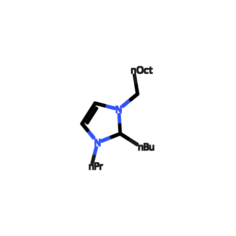 CCCCCCCCCN1C=CN(CCC)C1CCCC